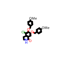 COc1ccc(COc2cc3c(c(Cl)c2OCc2ccc(OC)cc2)CCNC3=O)cc1